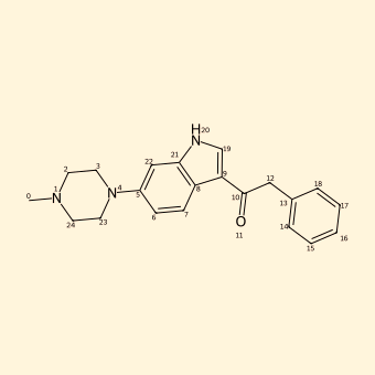 CN1CCN(c2ccc3c(C(=O)Cc4ccccc4)c[nH]c3c2)CC1